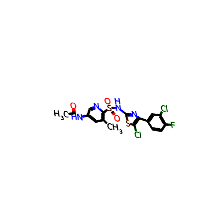 CC(=O)Nc1cnc(S(=O)(=O)Nc2nc(-c3ccc(F)c(Cl)c3)c(Cl)s2)c(C)c1